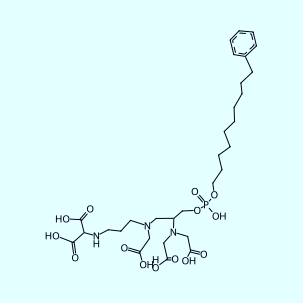 O=C(O)CN(CCCNC(C(=O)O)C(=O)O)CC(COP(=O)(O)OCCCCCCCCCCc1ccccc1)N(CC(=O)O)CC(=O)O